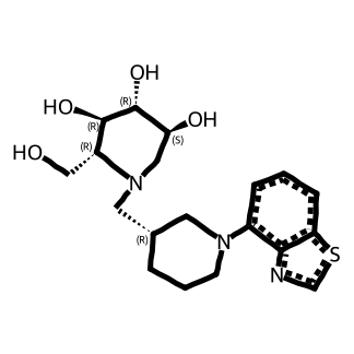 OC[C@@H]1[C@@H](O)[C@H](O)[C@@H](O)CN1C[C@H]1CCCN(c2cccc3scnc23)C1